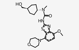 COc1ccc(N2CCOCC2)c2sc(NC(=O)N(C)[C@H]3CC[C@H](CO)CC3)nc12